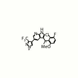 COc1ccc(F)c(Cl)c1[C@@H](C)c1c[nH]c2ncc(-c3cn(C)nc3C(F)(F)F)cc12